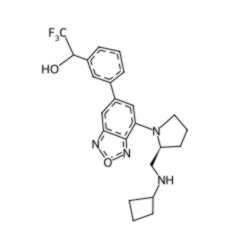 OC(c1cccc(-c2cc(N3CCC[C@H]3CNC3CCC3)c3nonc3c2)c1)C(F)(F)F